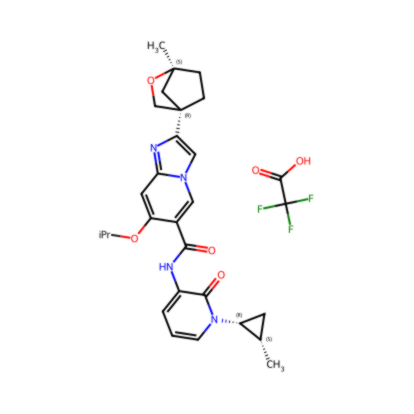 CC(C)Oc1cc2nc([C@@]34CC[C@@](C)(C3)OC4)cn2cc1C(=O)Nc1cccn([C@@H]2C[C@@H]2C)c1=O.O=C(O)C(F)(F)F